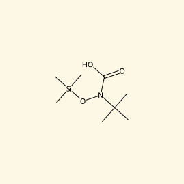 CC(C)(C)N(O[Si](C)(C)C)C(=O)O